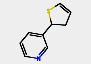 C1=CSC(c2cccnc2)C1